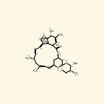 CC1=C[C@H]2C(=O)O[C@H]3C[C@@H](C/C=C(\C)C[C@@H](C)/C=C/C=C4\CO[C@H]([C@@H]1O)[C@@]42O)O[C@@]1(CC[C@H](C)[C@@H](C(C)C)O1)C3